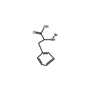 O=C(O)C(Cc1ccccc1)NBr